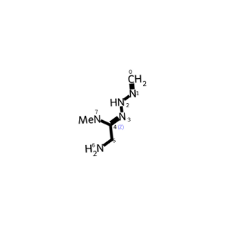 C=NN/N=C(/CN)NC